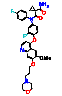 COc1cc2c(Oc3ccc(N(C(=O)C4(C(N)=O)CC4)c4ccc(F)cc4)cc3F)ccnc2cc1OCCCN1CCOCC1